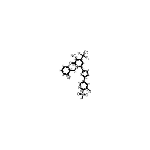 CCC(F)(F)c1cc(-c2ccc(-c3cnc(S(C)(=O)=O)c(C)c3)s2)n(Cc2ccccc2F)c(=O)c1C#N